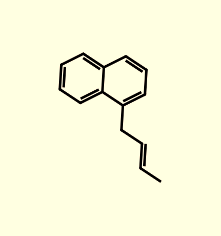 C/C=C/Cc1cccc2ccccc12